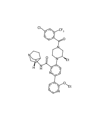 CCOc1ncccc1-c1ccc(N2CCN(C(=O)c3ccc(Cl)cc3C(F)(F)F)C[C@H]2CC)c(C(=O)N[C@@H]2CN3CCC2CC3)n1